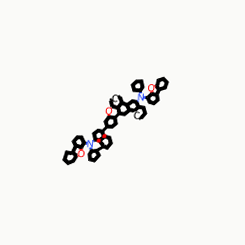 c1ccc(-c2ccccc2N(c2ccc(-c3ccc4c(c3)Oc3cccc5c3c-4cc3c4ccccc4c(N(c4ccccc4)c4cccc6c4oc4ccccc46)cc53)cc2)c2cccc3c2oc2ccccc23)cc1